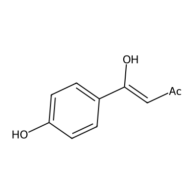 CC(=O)/C=C(\O)c1ccc(O)cc1